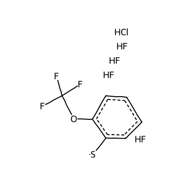 Cl.F.F.F.F.FC(F)(F)Oc1ccccc1[S]